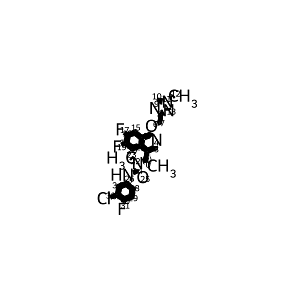 C[C@H](c1cnc(OCc2ncn(C)n2)c2cc(F)c(F)cc12)N(C)C(=O)Nc1ccc(F)c(Cl)c1